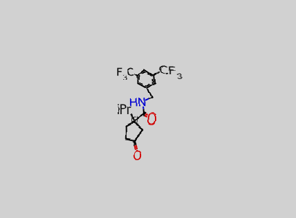 CC(C)[C@]1(C(=O)NCc2cc(C(F)(F)F)cc(C(F)(F)F)c2)CCC(=O)C1